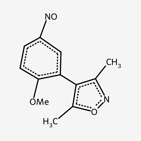 COc1ccc(N=O)cc1-c1c(C)noc1C